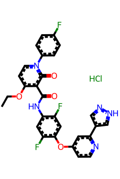 CCOc1ccn(-c2ccc(F)cc2)c(=O)c1C(=O)Nc1cc(F)c(Oc2ccnc(-c3cn[nH]c3)c2)cc1F.Cl